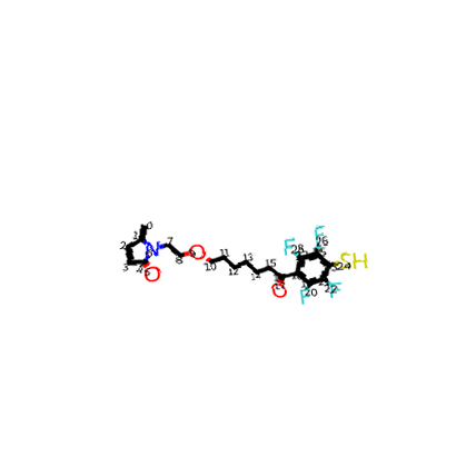 C=C1C=CC(=O)N1CCOCCCCCCC(=O)c1c(F)c(F)c(S)c(F)c1F